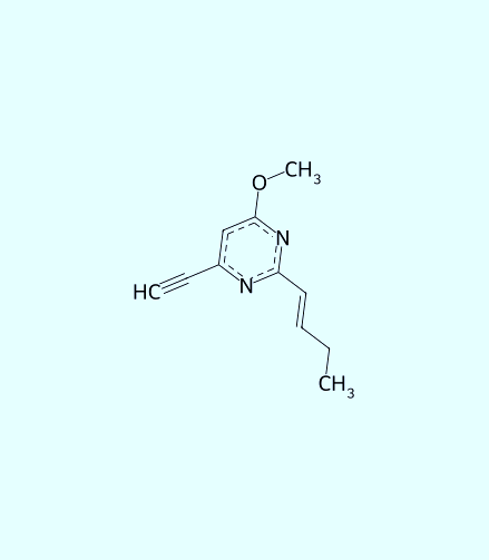 C#Cc1cc(OC)nc(C=CCC)n1